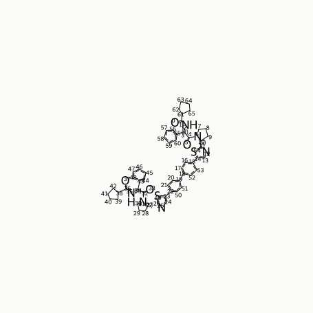 O=C(N[C@@H](C(=O)N1CCC[C@H]1c1ncc(-c2ccc(-c3ccc(-c4cnc([C@@H]5CCCN5C(=O)[C@H](NC(=O)C5CCCC5)c5ccccc5)s4)cc3)cc2)s1)c1ccccc1)C1CCCC1